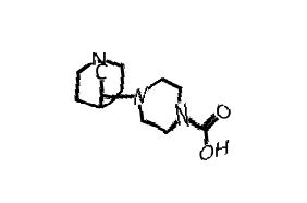 O=C(O)N1CCN(C2CN3CCC2CC3)CC1